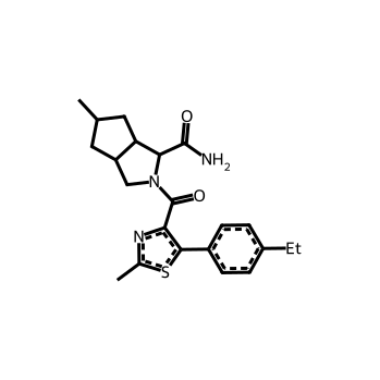 CCc1ccc(-c2sc(C)nc2C(=O)N2CC3CC(C)CC3C2C(N)=O)cc1